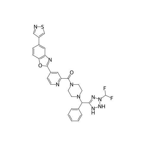 O=C(c1cc(-c2nc3cc(-c4cnsc4)ccc3o2)ccn1)N1CCN(C(C2=NN(C(F)F)NN2)c2ccccc2)CC1